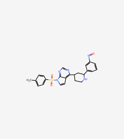 Cc1ccc(S(=O)(=O)n2ccc3c(C4CCNC(c5cccc(N=O)c5)C4)ncnc32)cc1